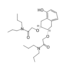 CCCN(CCC)C(=O)CO[C@H]1Cc2cccc(O)c2C[C@H]1OCC(=O)N(CCC)CCC